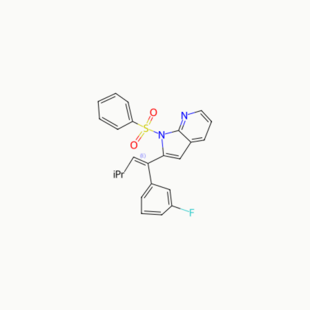 CC(C)/C=C(\c1cccc(F)c1)c1cc2cccnc2n1S(=O)(=O)c1ccccc1